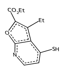 CCOC(=O)c1oc2nccc(S)c2c1CC